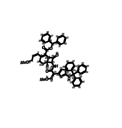 COC/C=C\C1=C(C(=O)OC(c2ccccc2)c2ccccc2)N2C(=O)C(NC(=O)/C(=N\OC)c3csc(NC(c4ccccc4)(c4ccccc4)c4ccccc4)n3)[C@@H]2SC1